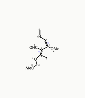 C=N/C=C(OC)\C(C=O)=C(/C)OCOC